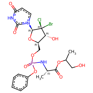 CC(CO)OC(=O)[C@H](C)NP(=O)(OC[C@H]1O[C@@H](n2ccc(=O)[nH]c2=O)[C@](Cl)(Br)[C@@H]1O)Oc1ccccc1